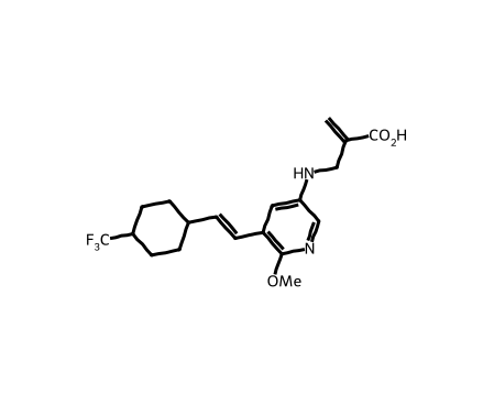 C=C(CNc1cnc(OC)c(C=CC2CCC(C(F)(F)F)CC2)c1)C(=O)O